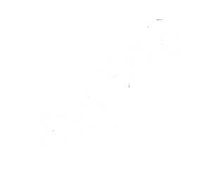 CC12CCCCC1(C)N(c1cccc(F)c1)c1ccc(-c3ccc4c5cc6c(cc5c5cccc3c54)c3cccc4cccc6c43)cc12